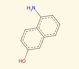 Nc1cccc2cc(O)ccc12